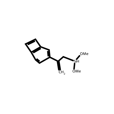 C=C(C[SiH](OC)OC)c1ccc2c(c1)C=C2